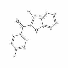 Cc1ccc(C(=O)c2oc3ccccc3c2C)cc1